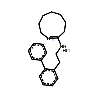 Cl.c1ccc(-c2ccccc2CCN/C2=N/CCCCCCC2)cc1